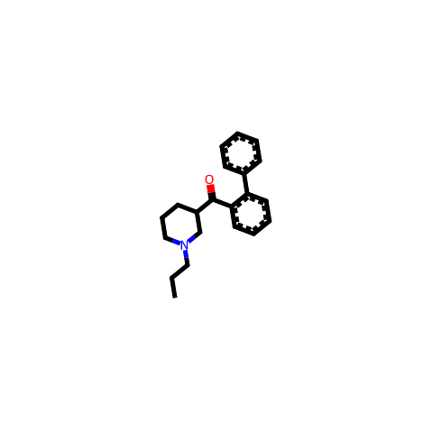 CCCN1CCCC(C(=O)c2ccccc2-c2ccccc2)C1